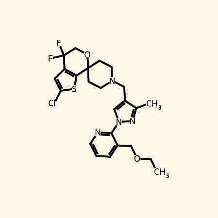 CCOCc1cccnc1-n1cc(CN2CCC3(CC2)OCC(F)(F)c2cc(Cl)sc23)c(C)n1